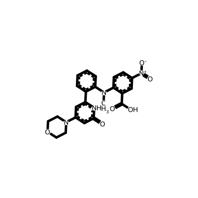 CN(c1ccc([N+](=O)[O-])cc1C(=O)O)c1ccccc1-c1cc(N2CCOCC2)cc(=O)[nH]1